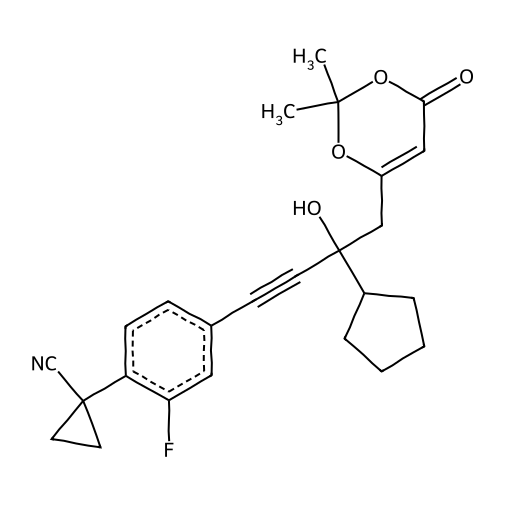 CC1(C)OC(=O)C=C(CC(O)(C#Cc2ccc(C3(C#N)CC3)c(F)c2)C2CCCC2)O1